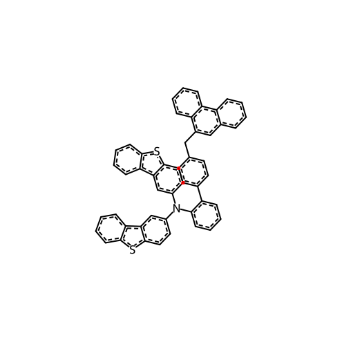 c1ccc(N(c2ccc3sc4ccccc4c3c2)c2ccc3sc4ccccc4c3c2)c(-c2ccc(Cc3cc4ccccc4c4ccccc34)cc2)c1